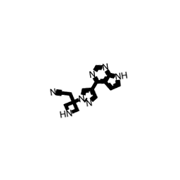 N#CCC1(n2cc(-c3ncnc4[nH]ccc34)cn2)CNC1